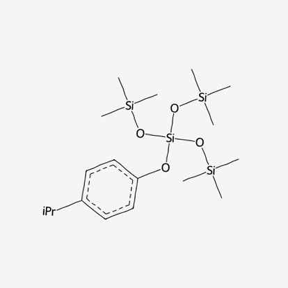 CC(C)c1ccc(O[Si](O[Si](C)(C)C)(O[Si](C)(C)C)O[Si](C)(C)C)cc1